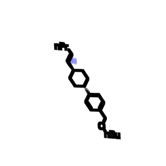 CCC/C=C/[C@H]1CC[C@H](c2ccc(COCCCC)cc2)CC1